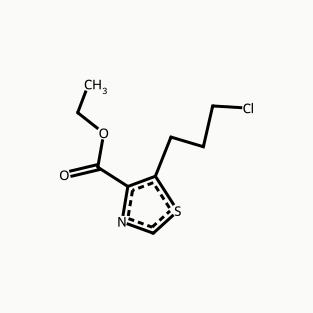 CCOC(=O)c1ncsc1CCCCl